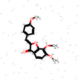 COc1ccc(/C=C2\Oc3c(ccc(OC)c3OC)C2=O)cc1